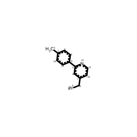 Cc1ccc(-c2cc(CC(C)C)ccn2)cc1